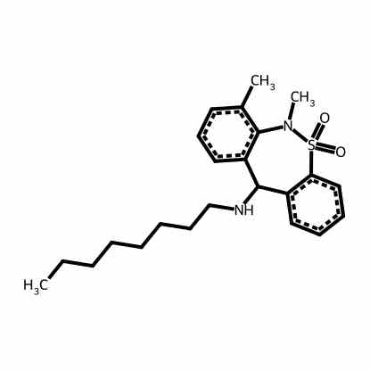 CCCCCCCCNC1c2ccccc2S(=O)(=O)N(C)c2c(C)cccc21